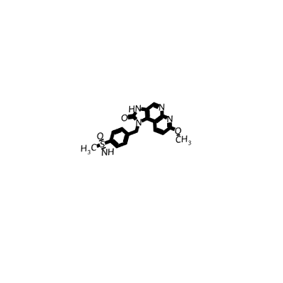 COc1ccc2c(ncc3[nH]c(=O)n(Cc4ccc(S(C)(=N)=O)cc4)c32)n1